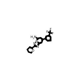 Nc1cc(-c2cccc(C(F)(F)F)c2)cc2nc(C3=CCCCO3)nn12